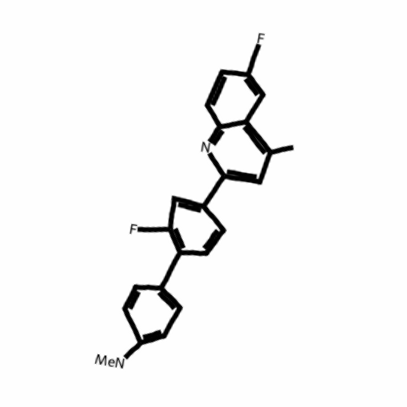 CNc1ccc(-c2ccc(-c3cc(C)c4cc(F)ccc4n3)cc2F)cc1